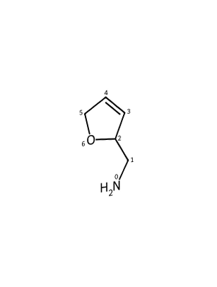 NCC1C=CCO1